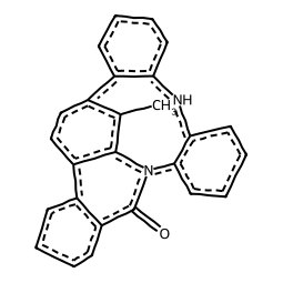 Cc1c2ccc3c4ccccc4c(=O)n(c4ccccc4[nH]c4ccccc42)c13